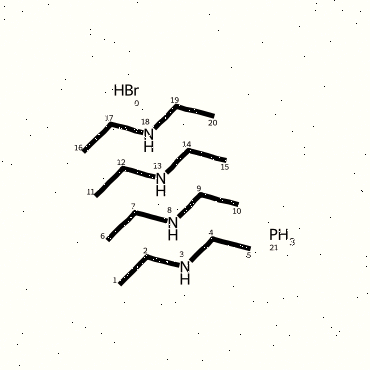 Br.CCNCC.CCNCC.CCNCC.CCNCC.P